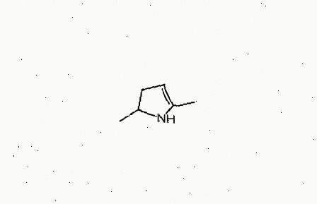 CC1=CCC(C)N1